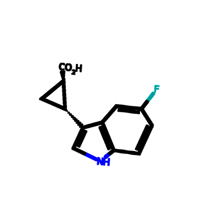 O=C(O)[C@@H]1C[C@H]1c1c[nH]c2ccc(F)cc12